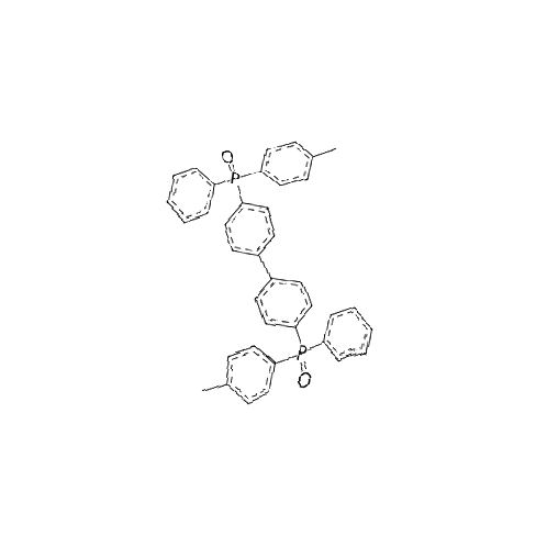 Cc1ccc(P(=O)(c2ccccc2)c2ccc(-c3ccc(P(=O)(c4ccccc4)c4ccc(C)cc4)cc3)cc2)cc1